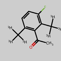 [2H]C([2H])([2H])c1ccc(F)c(C([2H])([2H])[2H])c1C(C)=O